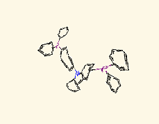 c1ccc(P(c2ccccc2)c2ccc(-n3c4ccccc4c4cc(P(c5ccccc5)c5ccccc5)ccc43)cc2)cc1